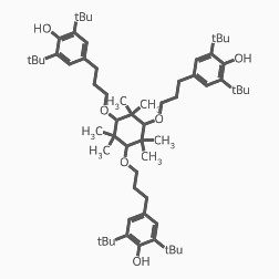 CC(C)(C)c1cc(CCCOC2C(C)(C)C(OCCCc3cc(C(C)(C)C)c(O)c(C(C)(C)C)c3)C(C)(C)C(OCCCc3cc(C(C)(C)C)c(O)c(C(C)(C)C)c3)C2(C)C)cc(C(C)(C)C)c1O